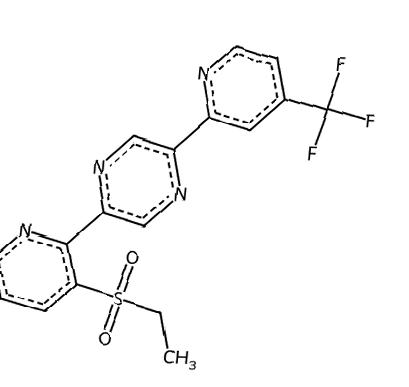 CCS(=O)(=O)c1cccnc1-c1cnc(-c2cc(C(F)(F)F)ccn2)cn1